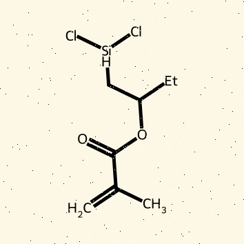 C=C(C)C(=O)OC(CC)C[SiH](Cl)Cl